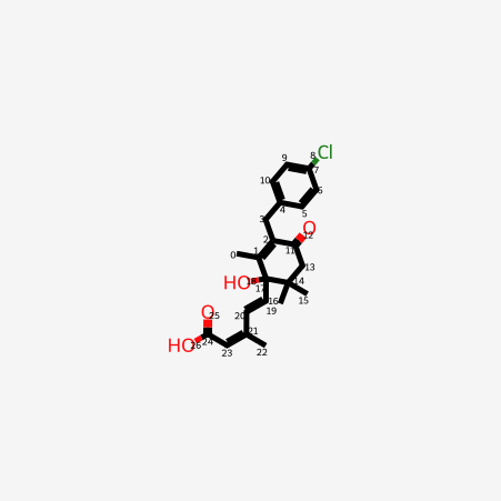 CC1=C(Cc2ccc(Cl)cc2)C(=O)CC(C)(C)C1(O)/C=C/C(C)=C\C(=O)O